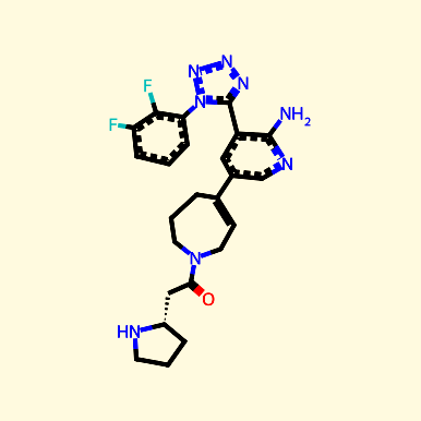 Nc1ncc(C2=CCN(C(=O)C[C@@H]3CCCN3)CCC2)cc1-c1nnnn1-c1cccc(F)c1F